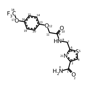 NC(=O)c1csc(CNC(=O)COc2ccc(OC(F)(F)F)cc2)n1